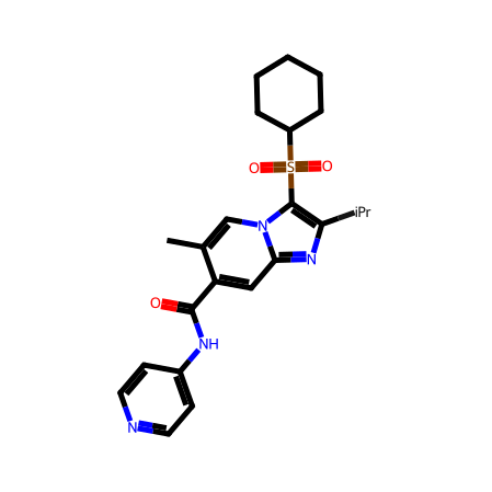 Cc1cn2c(S(=O)(=O)C3CCCCC3)c(C(C)C)nc2cc1C(=O)Nc1ccncc1